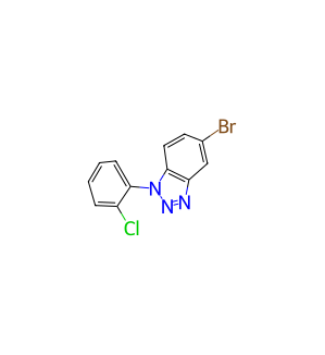 Clc1ccccc1-n1nnc2cc(Br)ccc21